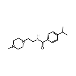 CC(C)c1ccc(C(=O)NCCN2CCN(C)CC2)cc1